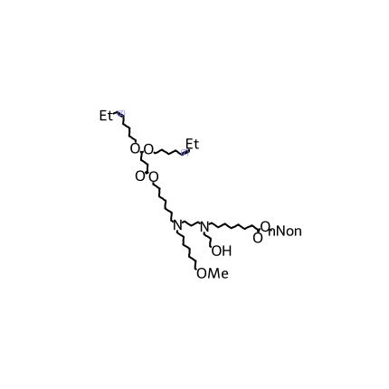 CC/C=C\CCCCOC(CCC(=O)OCCCCCCCN(CCCCCCCOC)CCCN(CCCO)CCCCCCCC(=O)OCCCCCCCCC)OCCCC/C=C\CC